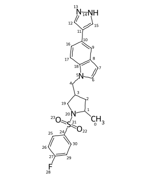 CC1CC(Cn2ccc3cc(-c4cn[nH]c4)ccc32)CN1S(=O)(=O)c1ccc(F)cc1